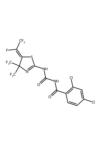 O=C(NC(=O)c1ccc(Cl)cc1Cl)NC1=NC(C(F)(F)F)(C(F)(F)F)/C(=C(\F)C(F)(F)F)S1